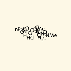 CCCS(=O)(=O)NC(=O)c1cccc2c(CN3C(=O)C(NC(=O)C(C)NC)CCc4ccccc43)c(OC)ccc12.Cl